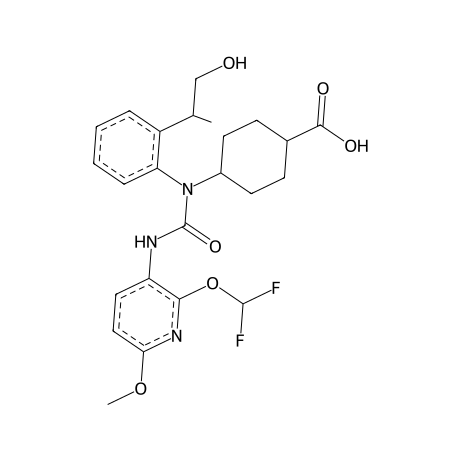 COc1ccc(NC(=O)N(c2ccccc2C(C)CO)C2CCC(C(=O)O)CC2)c(OC(F)F)n1